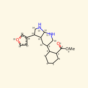 COC(=O)C1CCCCC1C1CNC2NCC(c3ccoc3)C2C1